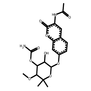 COC1C(OC(N)=O)C(O)C(Oc2ccc3cc(NC(C)=O)c(=O)oc3c2)OC1(C)C